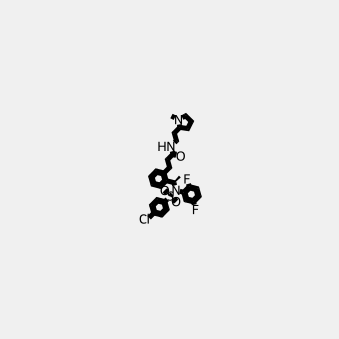 C[C@H](c1ccccc1CCC(=O)NCCC1CCCN1C)N(c1cc(F)ccc1F)S(=O)(=O)c1ccc(Cl)cc1